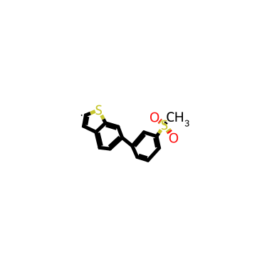 CS(=O)(=O)c1cccc(-c2ccc3c[c]sc3c2)c1